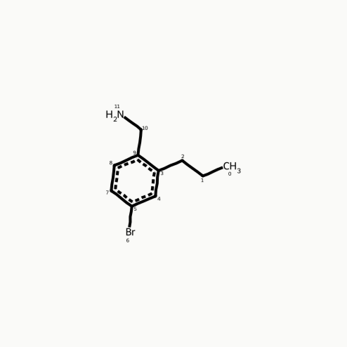 CCCc1cc(Br)ccc1CN